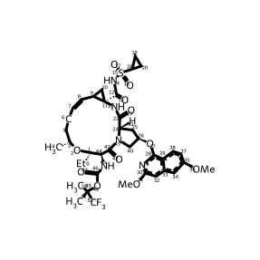 CC[C@@H]1O[C@H](C)CC/C=C\C2C[C@@]2(C(=O)NS(=O)(=O)C2CC2)NC(=O)[C@@H]2C[C@@H](Oc3nc(OC)cc4cc(OC)ccc34)CN2C(=O)[C@H]1NC(=O)OC(C)(C)C(F)(F)F